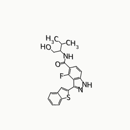 CC(C)C(CO)NC(=O)c1ccc2[nH]nc(-c3cc4ccccc4s3)c2c1F